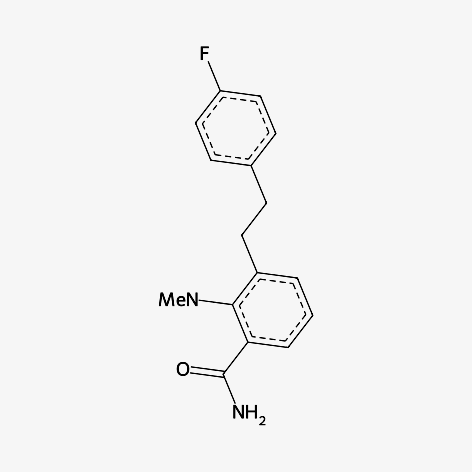 CNc1c(CCc2ccc(F)cc2)cccc1C(N)=O